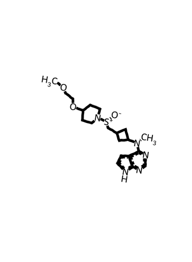 COCCOC1CCN([S+]([O-])CC2CC(N(C)c3ncnc4[nH]ccc34)C2)CC1